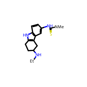 CCNC1CCc2[nH]c3ccc(NC(=S)NC)cc3c2C1